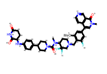 COc1cc(-c2cn(C)c(=O)c3cnccc23)cc(F)c1CN1CCC(N(C)C(=O)N2CCC(c3ccc(NC4CCC(=O)NC4=O)cc3)CC2)C(F)(F)C1